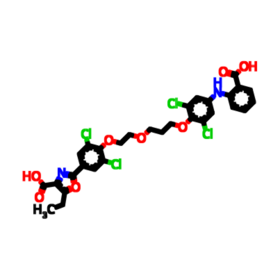 CCc1oc(-c2cc(Cl)c(OCCOCCCOc3c(Cl)cc(Nc4ccccc4C(=O)O)cc3Cl)c(Cl)c2)nc1C(=O)O